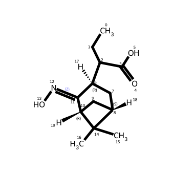 CCC(C(=O)O)[C@H]1C[C@H]2C[C@@H](/C1=N\O)C2(C)C